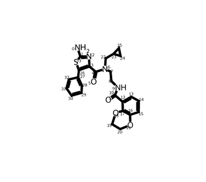 Nc1nc(C(=O)N(CCNC(=O)c2cccc3c2OCCO3)CC2CC2)c(-c2ccccc2)s1